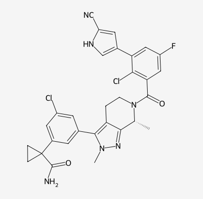 C[C@@H]1c2nn(C)c(-c3cc(Cl)cc(C4(C(N)=O)CC4)c3)c2CCN1C(=O)c1cc(F)cc(-c2c[nH]c(C#N)c2)c1Cl